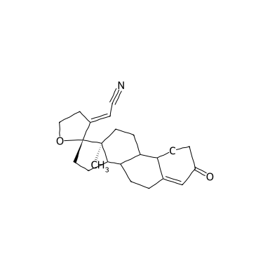 C[C@]12CCC3C4CCC(=O)C=C4CCC3C1CC[C@]21OCC/C1=C\C#N